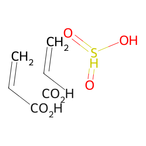 C=CC(=O)O.C=CC(=O)O.O=[SH](=O)O